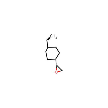 C=CC1CCC([C@@H]2CO2)CC1